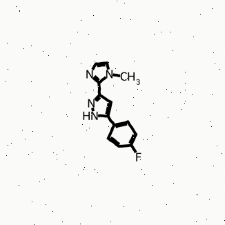 Cn1ccnc1-c1cc(-c2ccc(F)cc2)[nH]n1